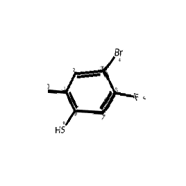 Cc1cc(Br)c(F)cc1S